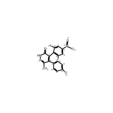 Cc1n[nH]c(=O)c(-c2c(F)cc([N+](=O)[O-])cc2F)c1-c1ccc(Cl)cc1